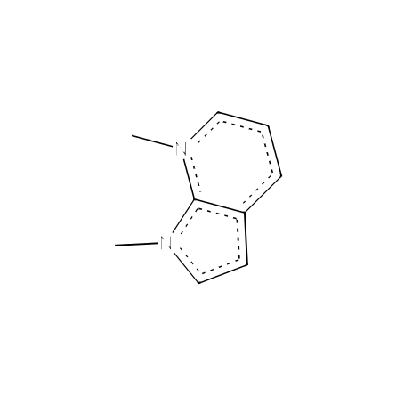 Cn1ccc2ccc[n+](C)c21